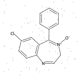 [O-][N+]1=C(c2ccccc2)c2cc(Cl)ccc2N=CC1